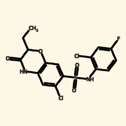 CCC1Oc2cc(S(=O)(=O)Nc3ccc(F)cc3Cl)c(Cl)cc2NC1=O